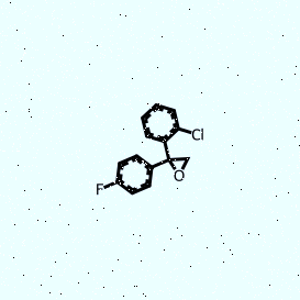 Fc1ccc(C2(c3ccccc3Cl)CO2)cc1